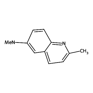 CNc1ccc2nc(C)ccc2c1